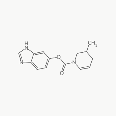 CC1CC=CN(C(=O)Oc2ccc3nc[nH]c3c2)C1